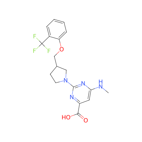 CNc1cc(C(=O)O)nc(N2CCC(COc3ccccc3C(F)(F)F)C2)n1